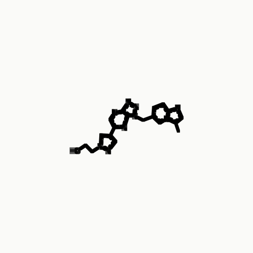 Cc1cnc2ccc(Cn3nnc4ncc(-c5cnn(CCO)c5)nc43)cn12